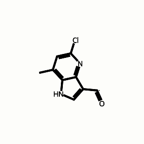 Cc1cc(Cl)nc2c([C]=O)c[nH]c12